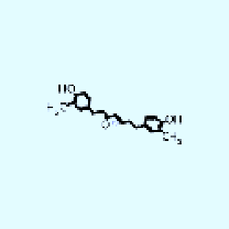 Cc1cc(CC/C=C/C(=O)CCc2ccc(O)c(C)c2)ccc1O